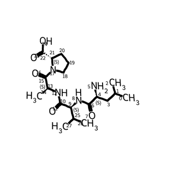 CC(C)C[C@H](N)C(=O)N[C@H](C(=O)N[C@@H](C)C(=O)N1CCC[C@H]1C(=O)O)C(C)C